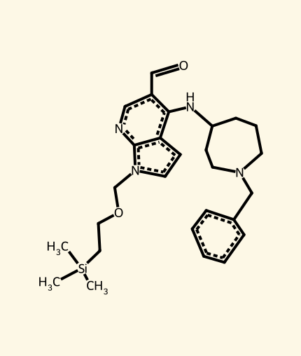 C[Si](C)(C)CCOCn1ccc2c(NC3CCCN(Cc4ccccc4)CC3)c(C=O)cnc21